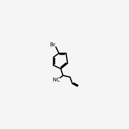 C=CCC(C#N)c1ccc(Br)cc1